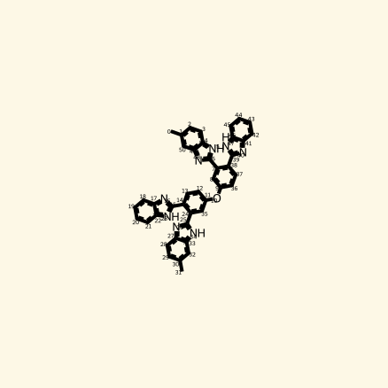 Cc1ccc2[nH]c(-c3cc(Oc4ccc(-c5nc6ccccc6[nH]5)c(-c5nc6ccc(C)cc6[nH]5)c4)ccc3-c3nc4ccccc4[nH]3)nc2c1